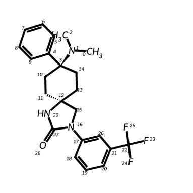 CN(C)[C@]1(c2ccccc2)CC[C@]2(CC1)CN(c1cccc(C(F)(F)F)c1)C(=O)N2